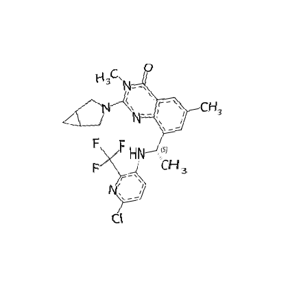 Cc1cc([C@H](C)Nc2ccc(Cl)nc2C(F)(F)F)c2nc(N3CC4CC4C3)n(C)c(=O)c2c1